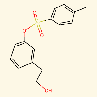 Cc1ccc(S(=O)(=O)Oc2cccc(CCO)c2)cc1